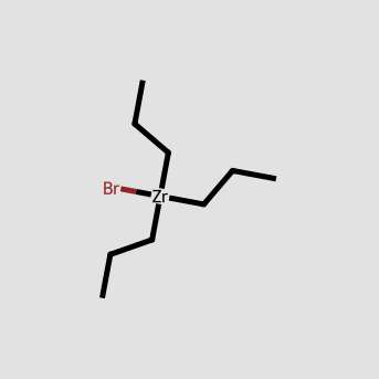 CC[CH2][Zr]([Br])([CH2]CC)[CH2]CC